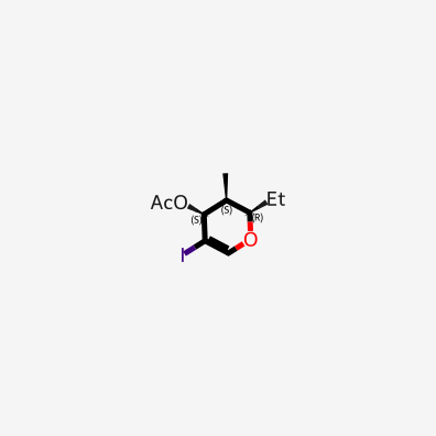 CC[C@H]1OC=C(I)[C@@H](OC(C)=O)[C@H]1C